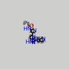 CC(C)CC(=O)Nc1cncc(-c2ccc3[nH]nc(-c4cc5ccncc5[nH]4)c3n2)c1